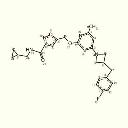 Cc1cc(N2CC(Cc3ccc(F)cc3)C2)nc(OCc2cc(C(=O)NCC3CC3)no2)n1